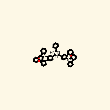 c1ccc(-c2cccc(-c3ccc(C4=NC(c5ccc(-n6c7ccccc7c7ccccc76)c(-c6ccccc6)c5)=NC(c5ccccc5)N4)cc3-n3c4ccccc4c4ccccc43)c2)cc1